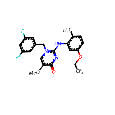 COc1cn(Cc2cc(F)cc(F)c2)c(Nc2cc(OCC(F)(F)F)ccc2C)nc1=O